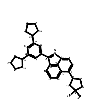 FC1(F)CCC(c2ccc3c4c(cccc24)C(c2cc(C4CCCC4)cc(C4CCCC4)c2)=N3)C1